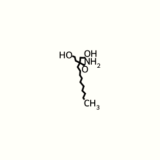 CCCCCCCCCCC(CCO)(CCO)C(N)=O